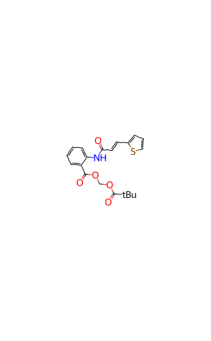 CC(C)(C)C(=O)OCOC(=O)c1ccccc1NC(=O)C=Cc1cccs1